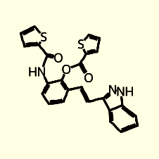 O=C(Nc1cccc(C=Cc2n[nH]c3ccccc23)c1OC(=O)c1cccs1)c1cccs1